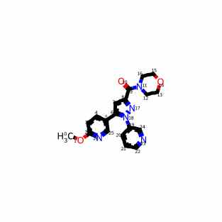 COc1ccc(-c2cc(C(=O)N3CCOCC3)nn2-c2cccnc2)cn1